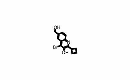 OCc1ccc2nc(C3CCC3)c(O)c(Br)c2c1